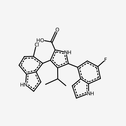 CC(C)c1c(-c2cc(F)cc3[nH]ccc23)[nH]c(C(=O)O)c1-c1c(Cl)ccc2[nH]ccc12